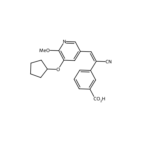 COc1ncc(C=C(C#N)c2cccc(C(=O)O)c2)cc1OC1CCCC1